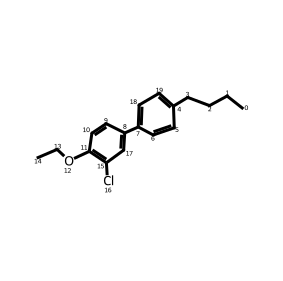 CCCCc1ccc(-c2ccc(OCC)c(Cl)c2)cc1